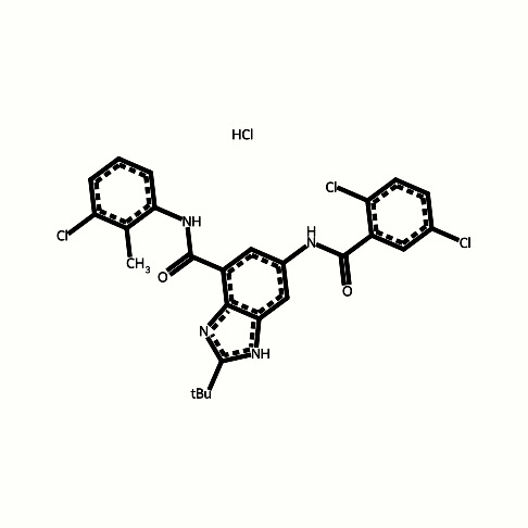 Cc1c(Cl)cccc1NC(=O)c1cc(NC(=O)c2cc(Cl)ccc2Cl)cc2[nH]c(C(C)(C)C)nc12.Cl